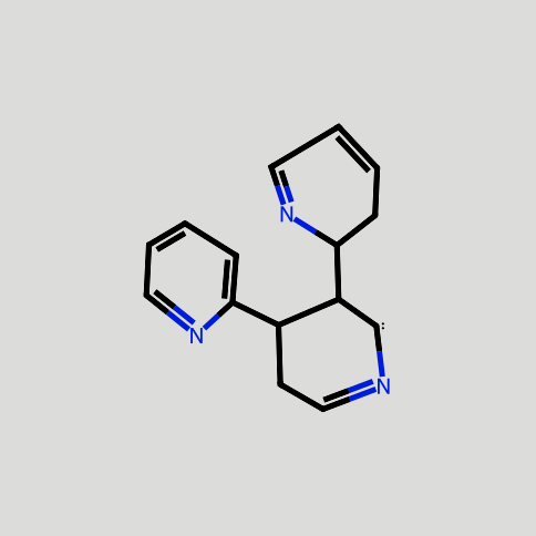 [C]1N=CCC(c2ccccn2)C1C1CC=CC=N1